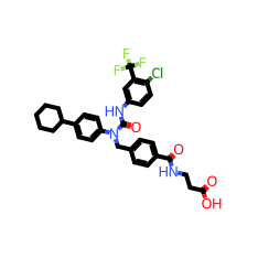 O=C(O)CCNC(=O)c1ccc(CN(C(=O)Nc2ccc(Cl)c(C(F)(F)F)c2)c2ccc(C3CCCCC3)cc2)cc1